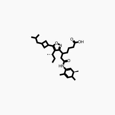 CC[C@H](C)c1c(C(CCCC(=O)O)CC(=O)NC2=C[C@@H](C)C(C)C=C2C)noc1C1CC(CC(C)C)C1